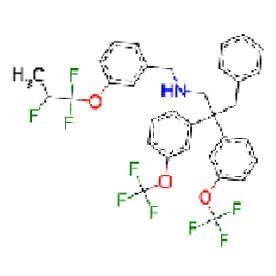 CC(F)C(F)(F)Oc1cccc(CNCC(Cc2ccccc2)(c2cccc(OC(F)(F)F)c2)c2cccc(OC(F)(F)F)c2)c1